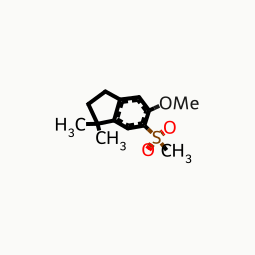 COc1cc2c(cc1S(C)(=O)=O)C(C)(C)CC2